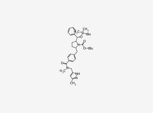 Cc1cc(CN(C)C(=O)c2ccc(CC3CCC([C@H](O[Si](C)(C)C(C)(C)C)c4ccccc4)N3C(=O)OC(C)(C)C)cc2)[nH]n1